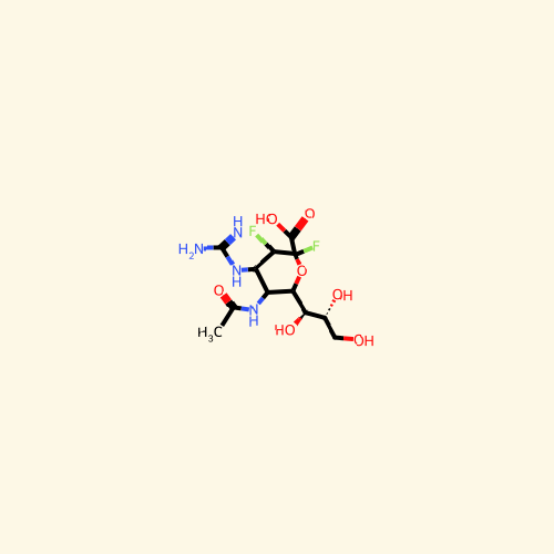 CC(=O)NC1C(NC(=N)N)C(F)C(F)(C(=O)O)OC1[C@H](O)[C@H](O)CO